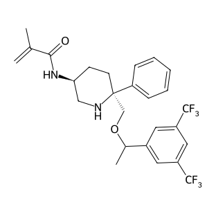 C=C(C)C(=O)N[C@H]1CC[C@@](COC(C)c2cc(C(F)(F)F)cc(C(F)(F)F)c2)(c2ccccc2)NC1